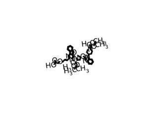 CC(C)(C)OC(=O)[C@@H]1C[C@H](Oc2nc3ccccc3n2C2CCN(C(=O)OC(C)(C)C)CC2)CN1c1nc(C=CCOCC(=O)O)nc2c1oc1ccccc12